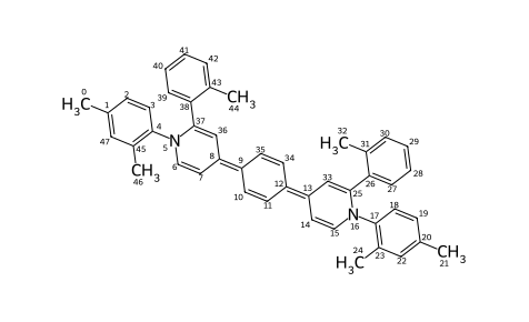 Cc1ccc(N2C=CC(=c3ccc(=C4C=CN(c5ccc(C)cc5C)C(c5ccccc5C)=C4)cc3)C=C2c2ccccc2C)c(C)c1